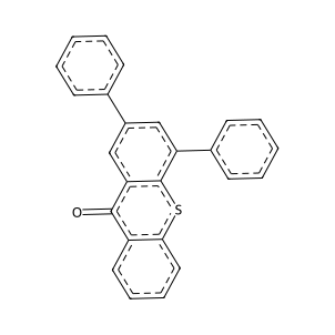 O=c1c2ccccc2sc2c(-c3ccccc3)cc(-c3ccccc3)cc12